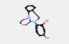 Oc1ccc(NCc2ccccc2N2CCOCC2)c(O)c1